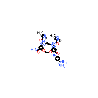 CCn1nc(C)cc1C(=O)Nc1nc2cc(C(N)=O)cc3c2n1C/C=C/Cn1c(NC(=O)c2cc(C)nn2CC)nc2cc(C(=O)N[C@H]4CC[C@H](/C(N)=N/N)CC4)cc(c21)OCCCO3